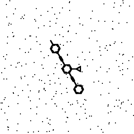 Cc1ccc(C#Cc2ccc(C#Cc3ccccc3)c(C3CC3)c2)cc1